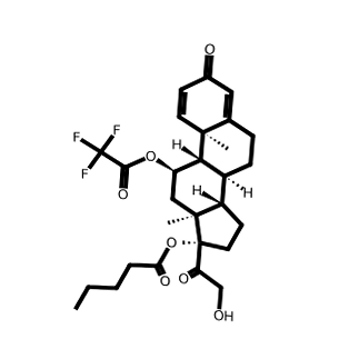 CCCCC(=O)O[C@@]1(C(=O)CO)CC[C@H]2[C@@H]3CCC4=CC(=O)C=C[C@]4(C)[C@H]3[C@H](OC(=O)C(F)(F)F)C[C@@]21C